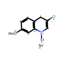 CCN1C=C(Cl)Cc2ccc(OC)cc21.[Sn]